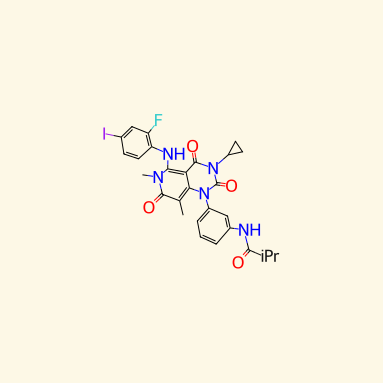 Cc1c(=O)n(C)c(Nc2ccc(I)cc2F)c2c(=O)n(C3CC3)c(=O)n(-c3cccc(NC(=O)C(C)C)c3)c12